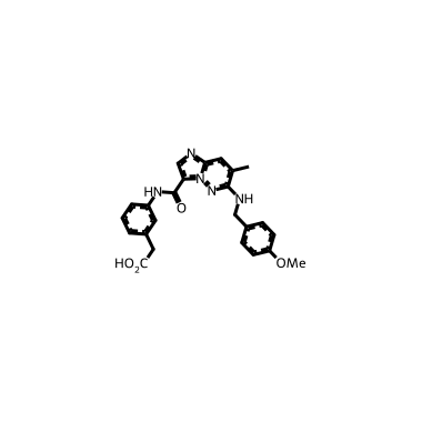 COc1ccc(CNc2nn3c(C(=O)Nc4cccc(CC(=O)O)c4)cnc3cc2C)cc1